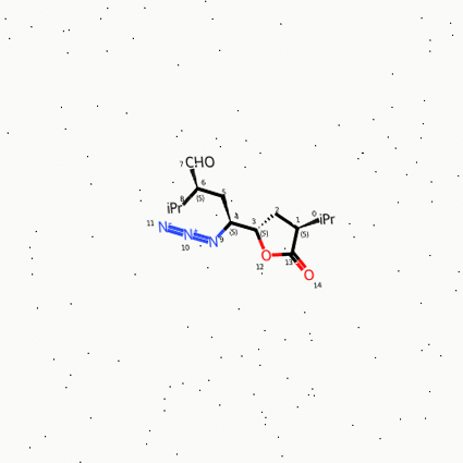 CC(C)[C@@H]1C[C@@H]([C@H](C[C@H](C=O)C(C)C)N=[N+]=[N-])OC1=O